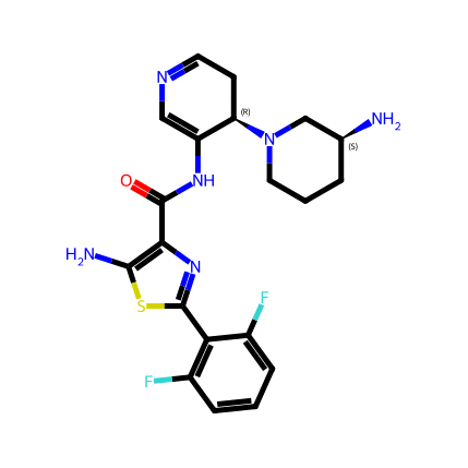 Nc1sc(-c2c(F)cccc2F)nc1C(=O)NC1=CN=CC[C@H]1N1CCC[C@H](N)C1